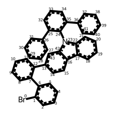 Brc1ccccc1-c1ccccc1-c1ccc2c3ccccc3n(-c3c(-c4ccccc4)cccc3-c3ccccc3)c2c1